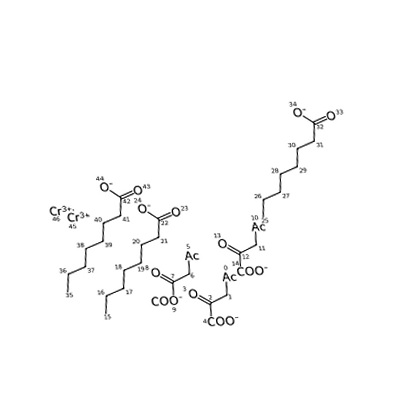 CC(=O)CC(=O)C(=O)[O-].CC(=O)CC(=O)C(=O)[O-].CC(=O)CC(=O)C(=O)[O-].CCCCCCCC(=O)[O-].CCCCCCCC(=O)[O-].CCCCCCCC(=O)[O-].[Cr+3].[Cr+3]